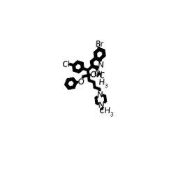 COc1nc2ccc(Br)cc2cc1C(c1ccc(Cl)cc1)C(O)(CCCCN1CCN(C)CC1)COc1ccccc1